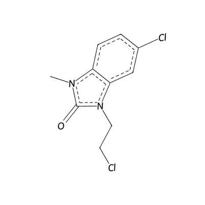 Cn1c(=O)n(CCCl)c2cc(Cl)ccc21